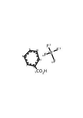 F[B-](F)(F)F.O=C(O)c1ccccc1